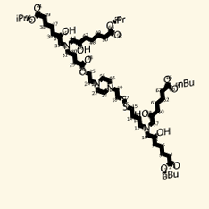 CCCCOC(=O)CCCCC(O)CN(CCCCSSCCN1CCN(CCOC(=O)CCCN(CC(O)CCCCC(=O)OC(C)C)CC(O)CCCCC(=O)OC(C)C)CC1)CC(O)CCCCC(=O)OCCCC